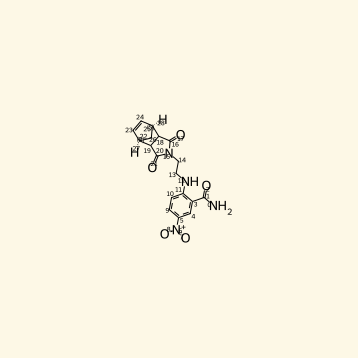 NC(=O)c1cc([N+](=O)[O-])ccc1NCCN1C(=O)C2C(C1=O)[C@H]1C=C[C@@H]2C1